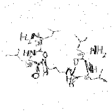 CC(C)C[C@H](NC(=O)[C@@H](N)CC(C)C)C(=O)NCCCNC(=O)[C@H](CC(C)C)NC(=O)[C@@H](N)CC(C)C